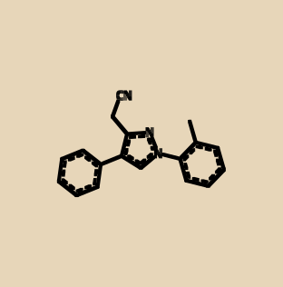 Cc1ccccc1-n1cc(-c2ccccc2)c(CC#N)n1